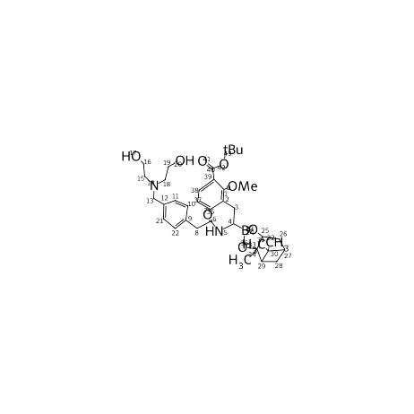 COc1c(CC(NC(=O)Cc2ccc(CN(CCO)CCO)cc2)B2OC3CC4CC(C4(C)C)C3(C)O2)cccc1C(=O)OC(C)(C)C